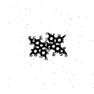 Cc1ccc(C2(c3ccc(C)cc3)c3cc4cc(C)sc4c(F)c3-c3sc4c5c(sc4c32)-c2c(cc3cc(C)sc3c2F)C5(c2ccc(C)cc2)c2ccc(C)cc2)cc1